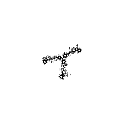 Cc1[nH]c2ccccc2c1CC(=O)NCC(=O)Nc1ccc(C(c2ccc(NC(=O)CNC(=O)Cc3c(C)[nH]c4ccccc34)cc2)c2ccc(NC(=O)CNC(=O)Cc3c(C)[nH]c4ccccc34)cc2)cc1